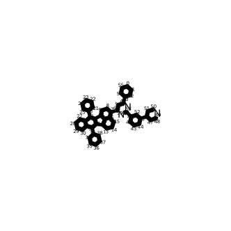 c1ccc(-c2cc(-c3ccc4c5c(cccc35)-c3c-4c(-c4ccccc4)c4ccccc4c3-c3ccccc3)nc(-c3cccc(-c4ccncc4)c3)n2)cc1